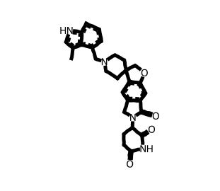 Cc1c[nH]c2cccc(CN3CCC4(CC3)COc3cc5c(cc34)CN(C3CCC(=O)NC3=O)C5=O)c12